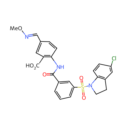 CO/N=C/c1ccc(NC(=O)c2cccc(S(=O)(=O)N3CCc4cc(Cl)ccc43)c2)c(C(=O)O)c1